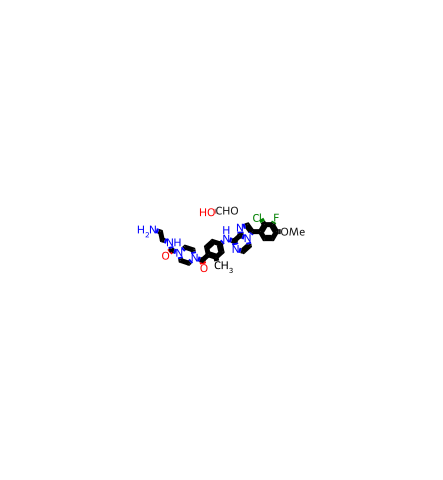 COc1ccc(-c2cnc3c(Nc4ccc(C(=O)N5CCN(C(=O)NCCN)CC5)c(C)c4)nccn23)c(Cl)c1F.O=CO